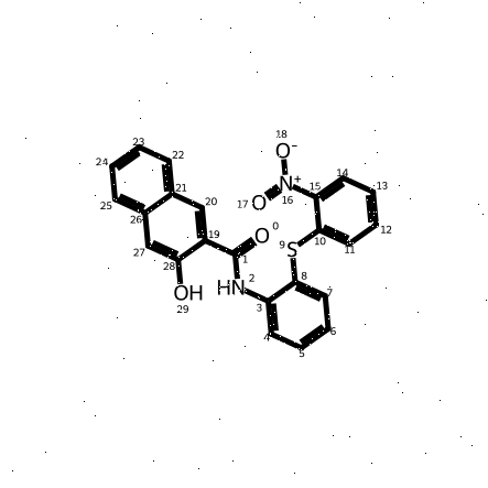 O=C(Nc1ccccc1Sc1ccccc1[N+](=O)[O-])c1cc2ccccc2cc1O